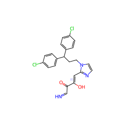 N=CC(=O)/C(O)=C/c1nccn1CCC(c1ccc(Cl)cc1)c1ccc(Cl)cc1